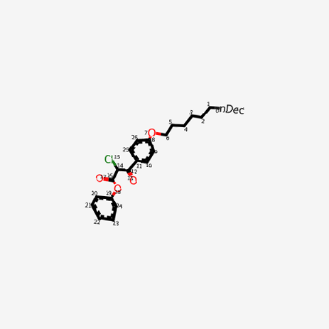 CCCCCCCCCCCCCCCCOc1ccc(C(=O)C(Cl)C(=O)Oc2ccccc2)cc1